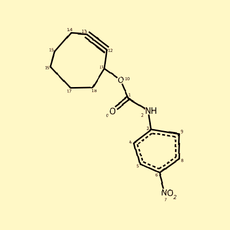 O=C(Nc1ccc([N+](=O)[O-])cc1)OC1C#CCCCCC1